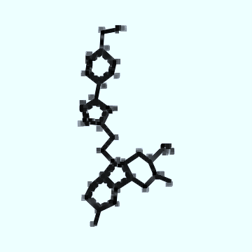 Cc1ccc2c(c1)c1c(n2CCc2noc(-c3ccc(CF)nc3)n2)CC(C(F)(F)F)N(C)C1